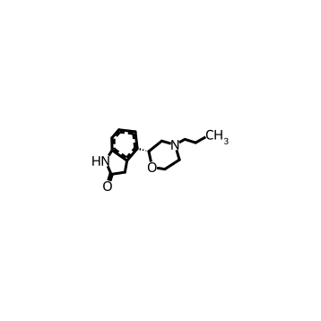 CCCN1CCO[C@H](c2cccc3c2CC(=O)N3)C1